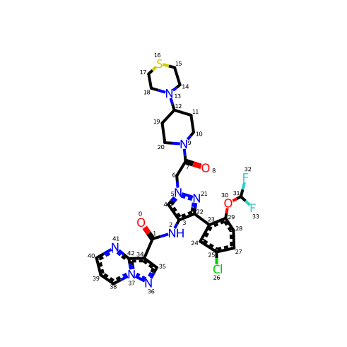 O=C(Nc1cn(CC(=O)N2CCC(N3CCSCC3)CC2)nc1-c1cc(Cl)ccc1OC(F)F)c1cnn2cccnc12